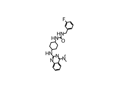 CN(C)c1nc(NC2CCC(NC(=O)NCc3cccc(F)c3)CC2)nc2ccccc12